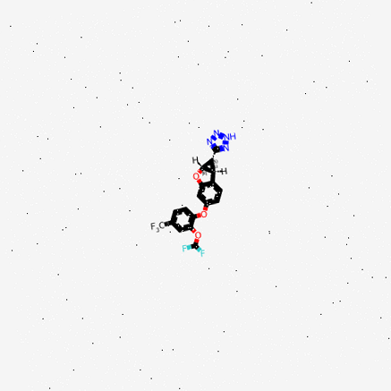 FC(F)Oc1cc(C(F)(F)F)ccc1Oc1ccc2c(c1)O[C@H]1[C@H](c3nn[nH]n3)[C@@H]21